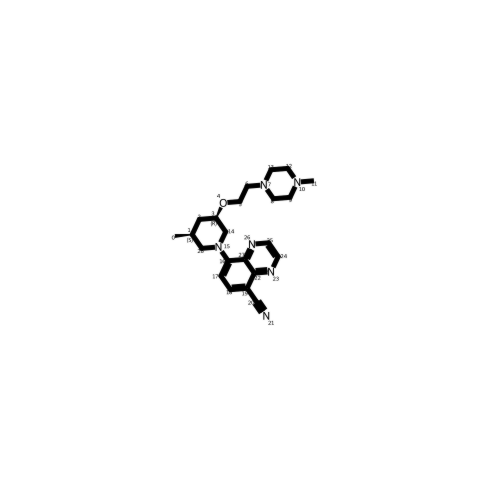 C[C@H]1C[C@@H](OCCN2CCN(C)CC2)CN(c2ccc(C#N)c3nccnc23)C1